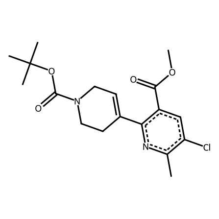 COC(=O)c1cc(Cl)c(C)nc1C1=CCN(C(=O)OC(C)(C)C)CC1